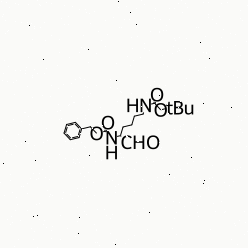 CC(C)(C)OC(=O)NCCCCC(C=O)NC(=O)OCc1ccccc1